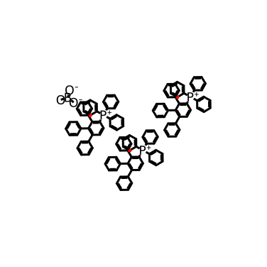 [O-]B([O-])[O-].c1ccc(-c2ccc([P+](c3ccccc3)(c3ccccc3)c3ccccc3)c(-c3ccccc3)c2-c2ccccc2)cc1.c1ccc(-c2ccc([P+](c3ccccc3)(c3ccccc3)c3ccccc3)c(-c3ccccc3)c2-c2ccccc2)cc1.c1ccc(-c2ccc([P+](c3ccccc3)(c3ccccc3)c3ccccc3)c(-c3ccccc3)c2-c2ccccc2)cc1